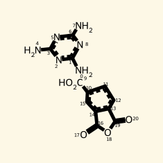 Nc1nc(N)nc(N)n1.O=C(O)c1ccc2c(c1)C(=O)OC2=O